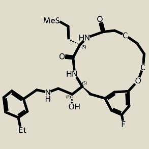 CCc1cccc(CNC[C@@H](O)[C@@H]2Cc3cc(F)cc(c3)OCCCCCC(=O)N[C@@H](CCSC)C(=O)N2)c1